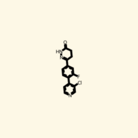 O=C1CCC(c2ccc(-c3ccncc3Cl)c(F)c2)=NN1